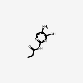 CCC(=O)Nc1ncc(N)c(O)n1